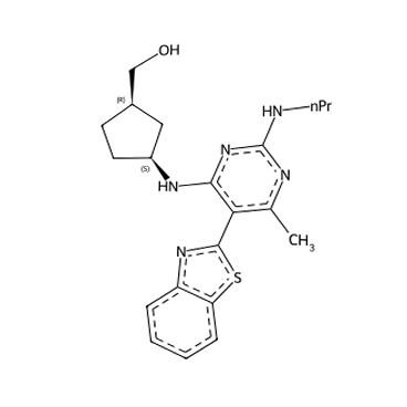 CCCNc1nc(C)c(-c2nc3ccccc3s2)c(N[C@H]2CC[C@@H](CO)C2)n1